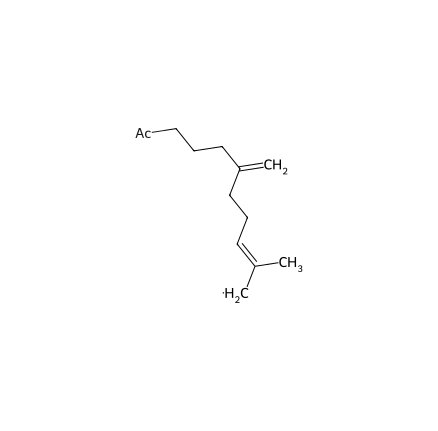 [CH2]C(C)=CCCC(=C)CCCC(C)=O